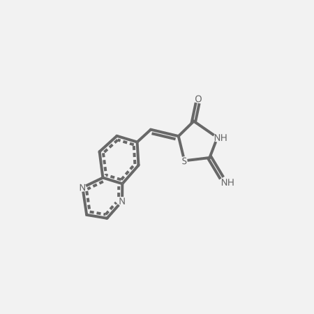 N=C1NC(=O)C(=Cc2ccc3nccnc3c2)S1